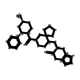 N[C@@H]1CCN(C(=O)N2CCC(CN3Cc4nccn4CC3=O)C3(CCCC3)C2)[C@H](c2ccccc2)C1